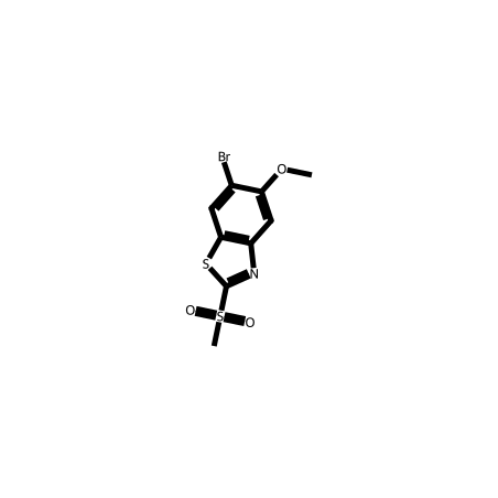 COc1cc2nc(S(C)(=O)=O)sc2cc1Br